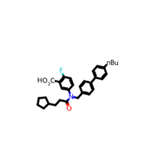 CCCCc1ccc(-c2ccc(CN(C(=O)CCC3CCCC3)c3ccc(F)c(C(=O)O)c3)cc2)cc1